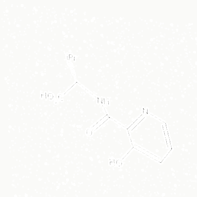 CC(C)[C@H](NC(=O)c1ncccc1O)C(=O)O